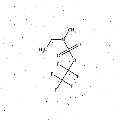 CCN(C)S(=O)(=O)OC(F)(F)C(F)(F)F